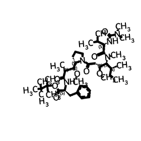 CC[C@H](C)[C@@H]([C@@H](CC(=O)N1CCC[C@H]1[C@H](OC)[C@@H](C)C(=O)N[C@@H](Cc1ccccc1)C(=O)OC(C)(C)C(C)(C)C)OC)N(C)C(=O)[C@@H](NC(=O)N(C)C)C(C)C